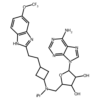 CC(C)N(CC1OC(n2cnc3c(N)ncnc32)C(O)C1O)C1CC(CCc2nc3cc(OC(F)(F)F)ccc3[nH]2)C1